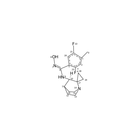 Cc1cc(F)c(/C(=N\O)N[C@@H]2C3CCN(CC3)C23CC3)cc1F